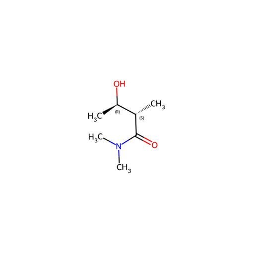 C[C@H](C(=O)N(C)C)[C@@H](C)O